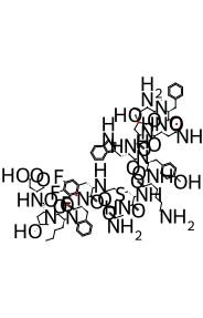 CCCC[C@@H](C(=O)N1C[C@H](O)C[C@@H]1C(=O)N[C@H](C=O)CC(=O)O)N(C)C(=O)[C@H](Cc1ccccc1)N(C)C(=O)[C@H](Cc1cc(F)c(F)c(F)c1)NC(=O)CSC[C@H](NC(=O)[C@H](CCCCN)NC(=O)[C@H](Cc1ccc(O)cc1)NC(=O)[C@H](Cc1c[nH]c2ccccc12)NC(=O)[C@H]1C[C@@H](O)CN1C(=O)[C@H](CC(N)=O)NC(=O)[C@H](Cc1ccccc1)N(C)C(=O)[C@@H](N)C(C)C)C(=O)NCC(N)=O